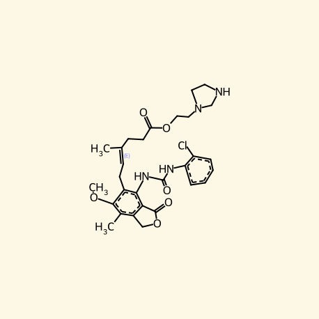 COc1c(C)c2c(c(NC(=O)Nc3ccccc3Cl)c1C/C=C(\C)CCC(=O)OCCN1CCNC1)C(=O)OC2